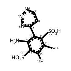 Nc1c(-c2ccnnn2)c(S(=O)(=O)O)c(F)c(F)c1S(=O)(=O)O